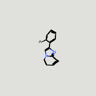 CC(C)c1ccccc1-c1cn2ccccc2n1